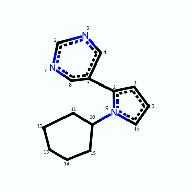 c1cc(-c2cncnc2)n(C2CCCCC2)c1